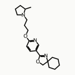 CC1CCCN1CCCOc1ccc(C2=NC3(CCCCC3)CO2)cn1